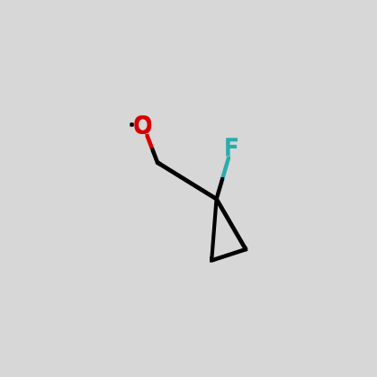 [O]CC1(F)CC1